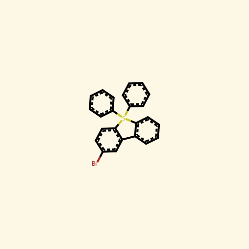 Brc1ccc2c(c1)-c1ccccc1S2(c1ccccc1)c1ccccc1